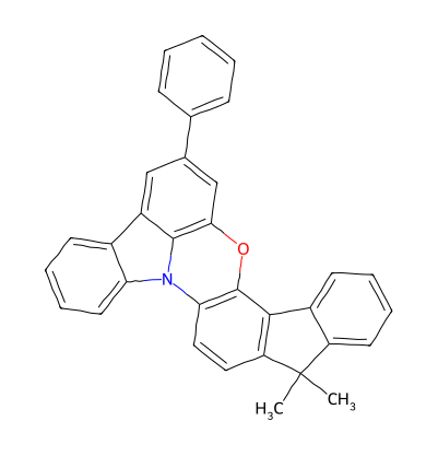 CC1(C)c2ccccc2-c2c1ccc1c2Oc2cc(-c3ccccc3)cc3c4ccccc4n-1c23